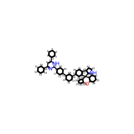 C1=C(c2ccccc2)NC(c2ccc(-c3cccc(-c4ccc5c(c4)C4(c6ccccc6Oc6ccccc64)c4[nH]ccc4-5)c3)cc2)N=C1c1ccccc1